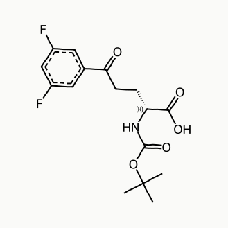 CC(C)(C)OC(=O)N[C@H](CCC(=O)c1cc(F)cc(F)c1)C(=O)O